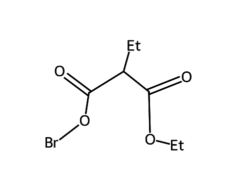 CCOC(=O)C(CC)C(=O)OBr